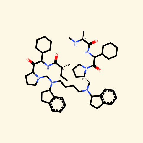 CC[C@@H](C)C(=O)NC(C(=O)C1CCCN1CN(CCCCN(C[C@@H]1CCCN1C(=O)C(NC(=O)[C@H](C)NC)C1CCCCC1)C1CCc2ccccc21)C1CCc2ccccc21)C1CCCCC1